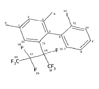 Cc1[c]c(C)c(-c2ccccc2I)c(C(F)(C(F)(F)F)C(F)(F)C(F)(F)F)c1